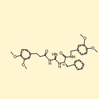 COc1ccc(CCC(=O)NC(=N)N[C@H](Cc2ccccc2)C(=O)NCc2ccc(OC)c(OC)c2)cc1OC